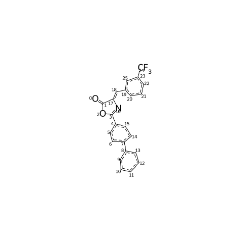 O=C1OC(c2ccc(-c3ccccc3)cc2)=NC1=Cc1cccc(C(F)(F)F)c1